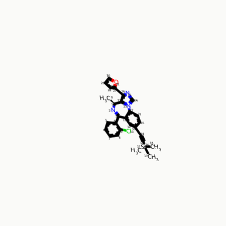 C[C@@H]1N=C(c2ccccc2Cl)c2cc(C#C[Si](C)(C)C)ccc2-n2cnc(-c3ccco3)c21